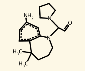 CC1(C)CCCN(C(C=O)N2CCCC2)c2cc(N)ccc21